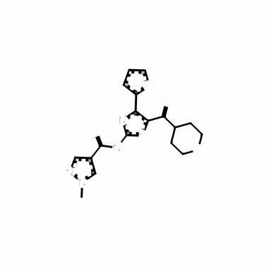 Cn1cc(C(=O)Nc2nc(-c3ccco3)c(C(=O)C3CCOCC3)s2)cn1